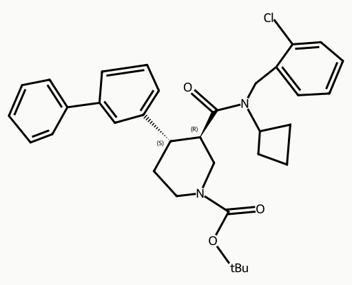 CC(C)(C)OC(=O)N1CC[C@H](c2cccc(-c3ccccc3)c2)[C@@H](C(=O)N(Cc2ccccc2Cl)C2CCC2)C1